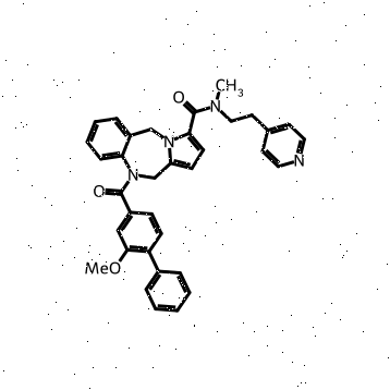 COc1cc(C(=O)N2Cc3ccc(C(=O)N(C)CCc4ccncc4)n3Cc3ccccc32)ccc1-c1ccccc1